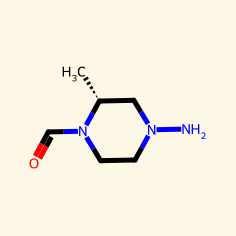 C[C@@H]1CN(N)CCN1C=O